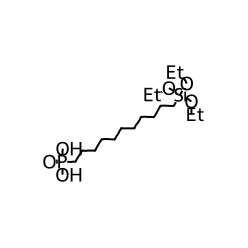 CCO[Si](CCCCCCCCCCCP(=O)(O)O)(OCC)OCC